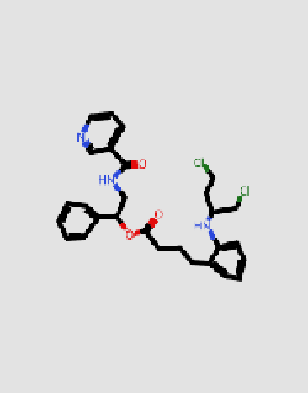 O=C(CCCc1ccccc1NC(CCl)CCCl)OC(CNC(=O)c1cccnc1)c1ccccc1